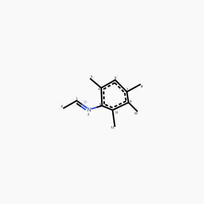 C/C=N/c1c(C)cc(C)c(C)c1C